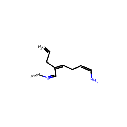 C=CCC(/C=N\NC)=C/C/C=C\N